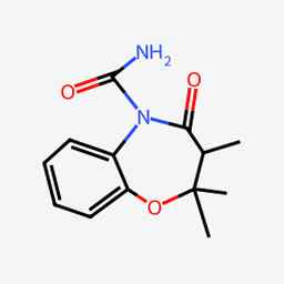 CC1C(=O)N(C(N)=O)c2ccccc2OC1(C)C